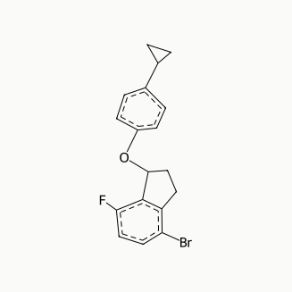 Fc1ccc(Br)c2c1C(Oc1ccc(C3CC3)cc1)CC2